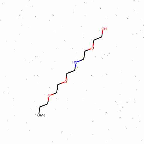 COCCOCCOCCNCCOCCO